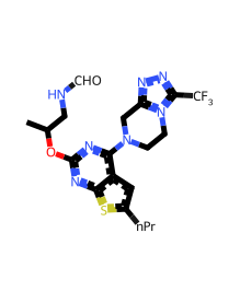 CCCc1cc2c(N3CCn4c(nnc4C(F)(F)F)C3)nc(OC(C)CNC=O)nc2s1